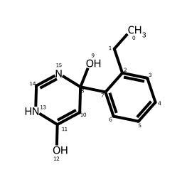 CCc1ccccc1C1(O)C=C(O)NC=N1